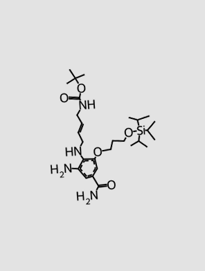 CC(C)[Si](OCCCOc1cc(C(N)=O)cc(N)c1NC/C=C/CNC(=O)OC(C)(C)C)(C(C)C)C(C)C